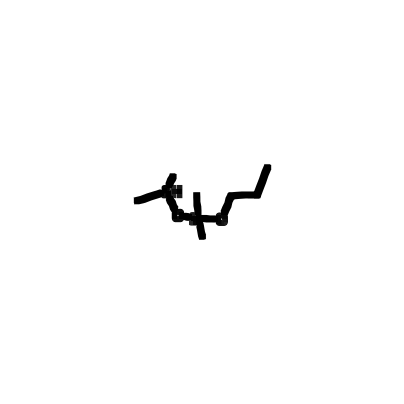 CCCO[Si](C)(C)O[SiH](C)C